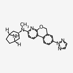 CN(c1ccc2c(n1)OCc1cc(-n3nccn3)ccc1-2)[C@@H]1C[C@H]2CC[C@@H](C1)N2